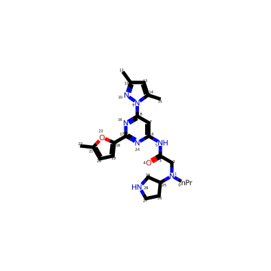 CCCN(CC(=O)Nc1cc(-n2nc(C)cc2C)nc(-c2ccc(C)o2)n1)C1CCNC1